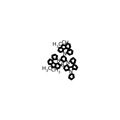 CC1(C)c2ccccc2-c2c(N(c3ccccc3)c3cc4c5c(c3)N(c3ccccc3)c3c(ccc6c3c3ccccc3n6-c3ccccc3)B5c3ccc5c(c3N4c3ccccc3)-c3ccccc3C5(C)C)cccc21